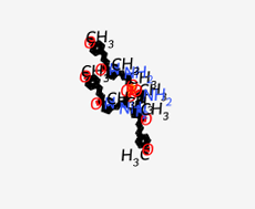 COc1ccc(CCCC(=O)c2ccc(CCC(C)(N)COP(=O)(OCC(C)(N)CCc3ccc(C(=O)CCCc4ccc(OC)cc4)n3C)OCC(C)(N)CCc3ccc(C(=O)CCCc4ccc(OC)cc4)n3C)n2C)cc1